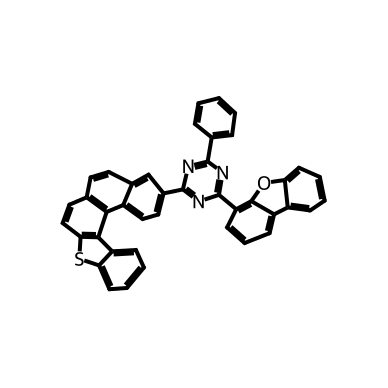 c1ccc(-c2nc(-c3ccc4c(ccc5ccc6sc7ccccc7c6c54)c3)nc(-c3cccc4c3oc3ccccc34)n2)cc1